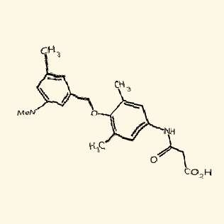 CNc1cc(C)cc(COc2c(C)cc(NC(=O)CC(=O)O)cc2C)c1